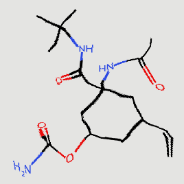 C=CC1CC(OC(N)=O)CC(NC(C)=O)(C(=O)NC(C)(C)C)C1